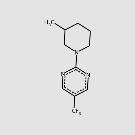 CC1CCCN(c2ncc(C(F)(F)F)cn2)C1